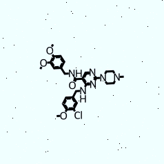 COc1ccc(CNc2nc(N3CCN(C)CC3)ncc2C(=O)NCc2ccc(OC)c(OC)c2)cc1Cl